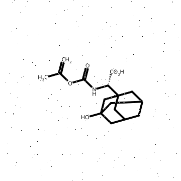 C=C(C)OC(=O)N[C@H](C(=O)O)C12CC3CC(CC(O)(C3)C1)C2